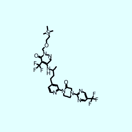 CC(CCc1ccnc(N2CCN(c3ncc(C(F)(F)F)cn3)CC2=O)c1)Nc1cnn(COCC[Si](C)(C)C)c(=O)c1C(F)(F)F